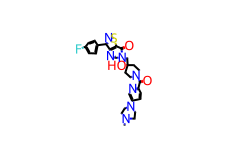 CN1CCN(c2ccc(C(=O)N3CCC(O)(Cn4cnc5c(-c6ccc(F)cc6)nsc5c4=O)CC3)nc2)CC1